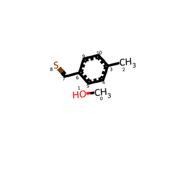 CO.Cc1ccc(C=S)cc1